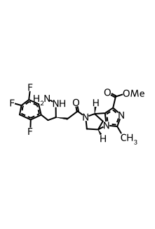 COC(=O)c1nc(C)n2c1[C@@H]1C[C@H]2CN1C(=O)C[C@@H](Cc1cc(F)c(F)cc1F)NN